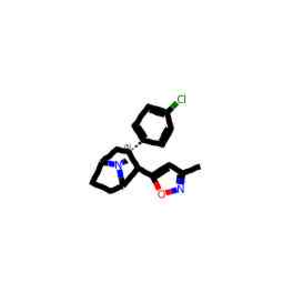 Cc1cc(C2C3CCC(C[C@@H]2c2ccc(Cl)cc2)N3C)on1